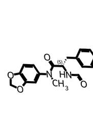 CN(C(=O)[C@H](Cc1ccccc1)NC=O)c1ccc2c(c1)OCO2